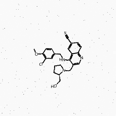 COc1ccc(CNc2c(CN3CCC[C@@H]3CO)cnc3ccc(C#N)cc23)cc1Cl